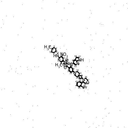 Cc1nc(NC[C@H]2CC[C@@H](C)CC2)c([N+](=O)[O-])cc1S(=O)(=O)NC(=O)c1ccc(N2CCC3(CC2)CC(N2CCOC[C@H]2c2ccccc2C(C)C)C3)cc1Oc1cnc2[nH]ccc2c1